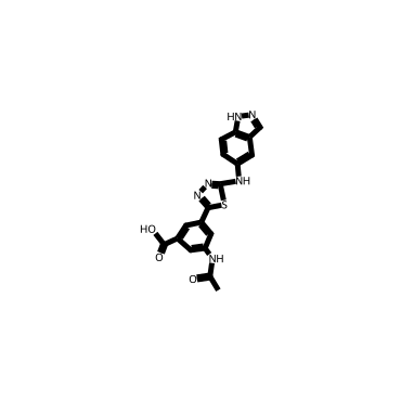 CC(=O)Nc1cc(C(=O)O)cc(-c2nnc(Nc3ccc4[nH]ncc4c3)s2)c1